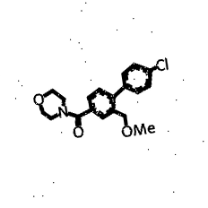 COCc1cc(C(=O)N2CCOCC2)ccc1-c1ccc(Cl)cc1